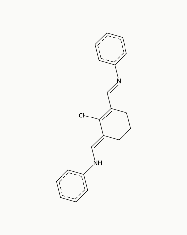 ClC1=C(/C=N/c2ccccc2)CCC/C1=C\Nc1ccccc1